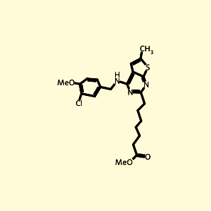 COC(=O)CCCCCCc1nc(NCc2ccc(OC)c(Cl)c2)c2cc(C)sc2n1